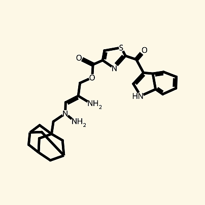 N/C(=C\N(N)CC12CC3CC(CC(C3)C1)C2)COC(=O)c1csc(C(=O)c2c[nH]c3ccccc23)n1